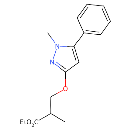 CCOC(=O)C(C)COc1cc(-c2ccccc2)n(C)n1